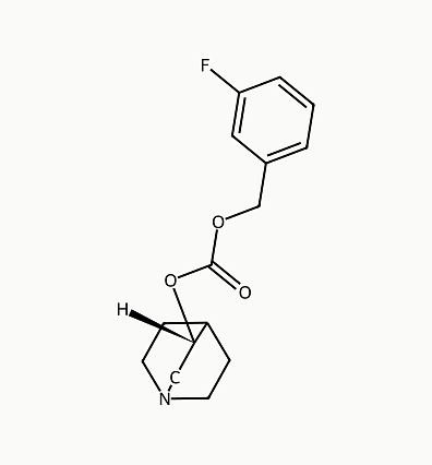 O=C(OCc1cccc(F)c1)O[C@H]1CN2CCC1CC2